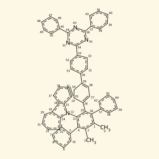 Cc1c(C)c(-c2ccccc2)c(-n2c3c#cccc3c3ccccc32)c(C2=CC=C(c3ccc(-c4nc(-c5ccccc5)nc(-c5ccccc5)n4)cc3)CC2)c1-c1ccccc1